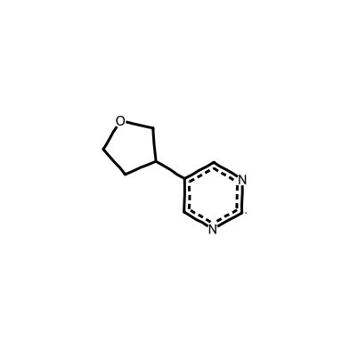 [c]1ncc(C2CCOC2)cn1